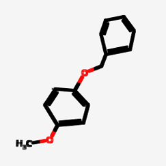 COc1c[c]c(OCc2ccccc2)cc1